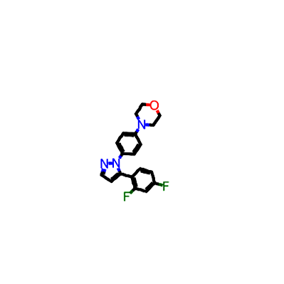 Fc1ccc(-c2ccnn2-c2ccc(N3CCOCC3)cc2)c(F)c1